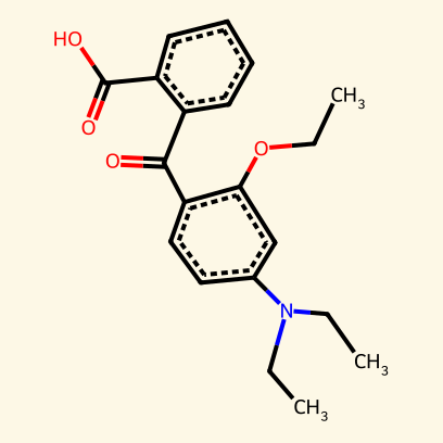 CCOc1cc(N(CC)CC)ccc1C(=O)c1ccccc1C(=O)O